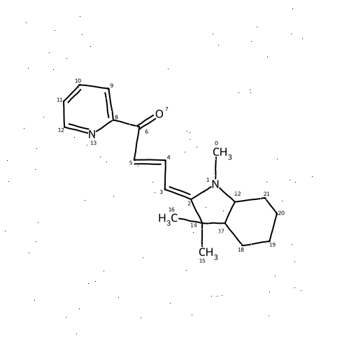 CN1/C(=C\C=C\C(=O)c2ccccn2)C(C)(C)C2CCCCC21